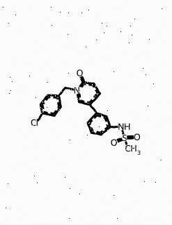 CS(=O)(=O)Nc1cccc(-c2ccc(=O)n(Cc3ccc(Cl)cc3)c2)c1